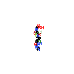 COc1c(CN2CCC(C(=O)O)C2)cc(Cl)c(C(=O)n2ccc3c(-c4cccc(NC(=O)c5nc6c(n5C)CCN(C)C6)c4Cl)cccc32)c1F